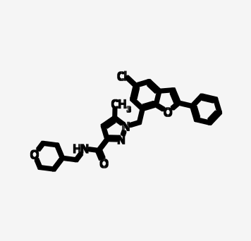 Cc1cc(C(=O)NCC2CCOCC2)nn1Cc1cc(Cl)cc2cc(-c3ccccc3)oc12